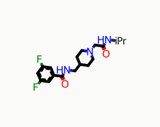 CC(C)NC(=O)CN1CCC(CNC(=O)c2cc(F)cc(F)c2)CC1